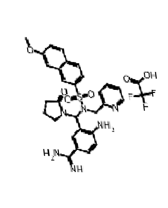 COc1ccc2ccc(S(=O)(=O)N(Cc3ccccn3)C(c3cc(C(=N)N)ccc3N)N3CCCC3=O)cc2c1.O=C(O)C(F)(F)F